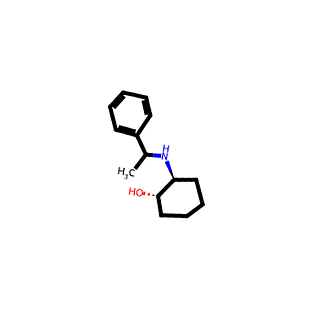 CC(N[C@H]1CCCC[C@@H]1O)c1ccccc1